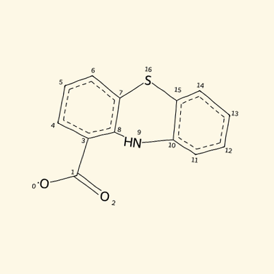 [O]C(=O)c1cccc2c1Nc1ccccc1S2